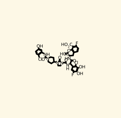 O=C(O)c1c(F)ccc2c1OB(O)[C@@H](NC(=O)[C@H](NC(=O)N1CCN(C3CCN(C(=O)Nc4cc(O)ccc4Cl)CC3)C1=O)c1cc(F)c(O)c(O)c1Cl)C2